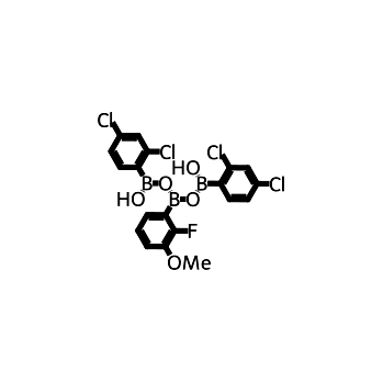 COc1cccc(B(OB(O)c2ccc(Cl)cc2Cl)OB(O)c2ccc(Cl)cc2Cl)c1F